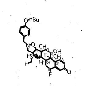 CCCCOc1ccc(CN2C[C@@H]3CC4[C@@H]5C[C@H](F)C6=CC(=O)C=C[C@]6(C)[C@@]5(F)[C@@H](O)C[C@]4(C)[C@]3(C(=O)SCF)O2)cc1